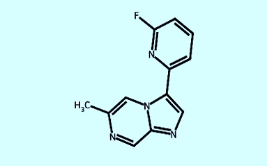 Cc1cn2c(-c3cccc(F)n3)cnc2cn1